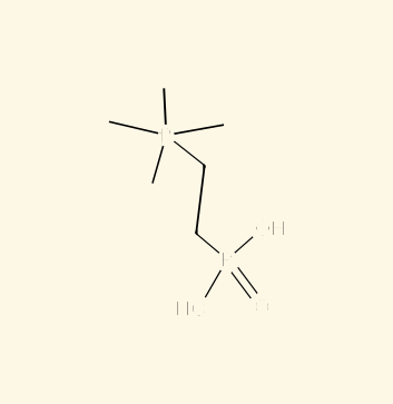 CP(C)(C)(C)CCP(=O)(O)O